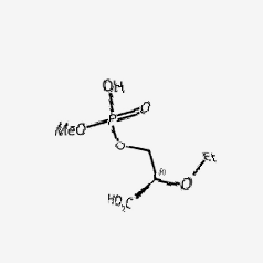 CCO[C@H](COP(=O)(O)OC)C(=O)O